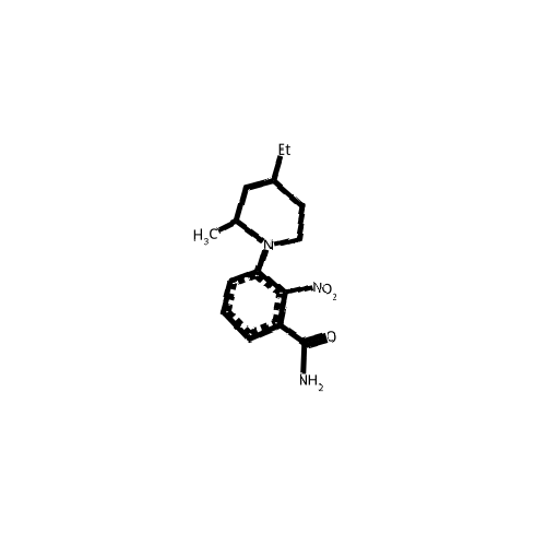 CCC1CCN(c2cccc(C(N)=O)c2[N+](=O)[O-])C(C)C1